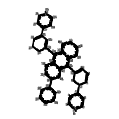 C1=CC(c2ccncc2)CC(c2c3ccccc3c(C3=CC(c4ccncc4)=CCC3)c3ccc(-c4ccccc4)cc23)=C1